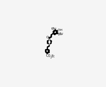 CCOC(=O)c1ccc(CCN2CCN(C(=O)CCc3cc(C(C)(C)C)c(O)c(C(C)(C)C)c3)CC2)cc1